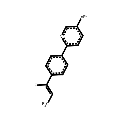 CCCc1ccc(-c2ccc(/C(F)=C/C(F)(F)F)cc2)nc1